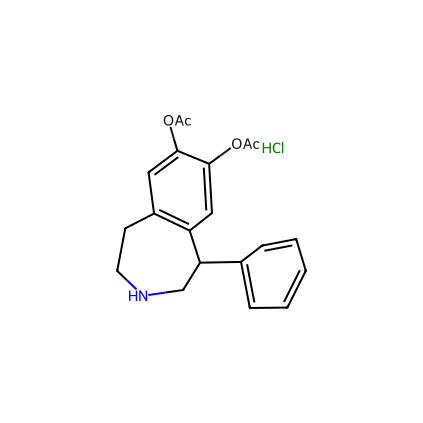 CC(=O)Oc1cc2c(cc1OC(C)=O)C(c1ccccc1)CNCC2.Cl